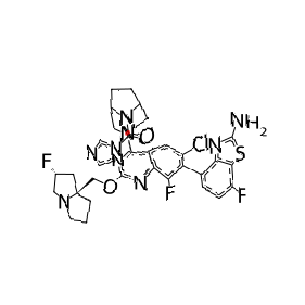 Nc1nc2c(-c3c(Cl)cc4c(N5CC6CCC(C5)N6C(=O)n5ccnc5)nc(OC[C@@]56CCCN5C[C@H](F)C6)nc4c3F)ccc(F)c2s1